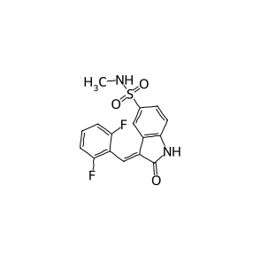 CNS(=O)(=O)c1ccc2c(c1)C(=Cc1c(F)cccc1F)C(=O)N2